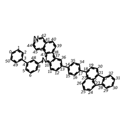 c1ccc(-c2cccc(-n3c4ccc(-c5ccc(-c6ccc7c8c(cccc68)-c6ccccc6-7)cc5)cc4c4ccc5cnccc5c43)c2)cc1